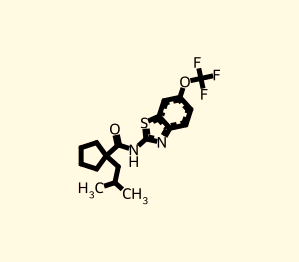 CC(C)CC1(C(=O)Nc2nc3ccc(OC(F)(F)F)cc3s2)CCCC1